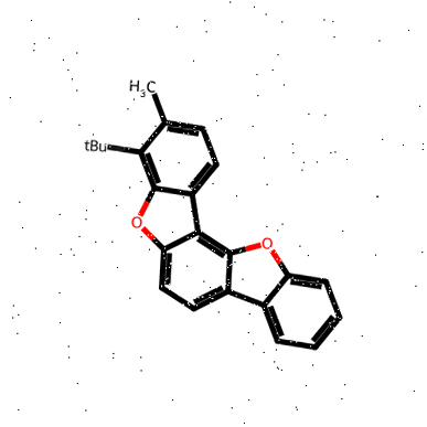 Cc1ccc2c(oc3ccc4c5ccccc5oc4c32)c1C(C)(C)C